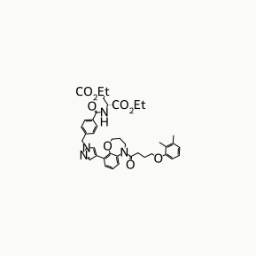 CCOC(=O)C[C@@H](NC(=O)c1ccc(Cn2cc(-c3cccc4c3OCCCN4C(=O)CCCOc3cccc(C)c3C)cn2)cc1)C(=O)OCC